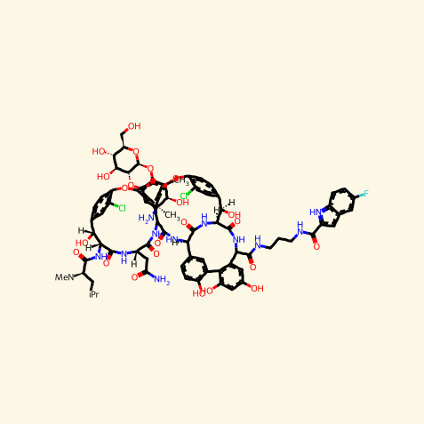 CN[C@H](CC(C)C)C(=O)N[C@H]1C(=O)N[C@@H](CC(N)=O)C(=O)NC2C(=O)N[C@H]3C(=O)N[C@H](C(=O)NC(C(=O)NCCCNC(=O)c4cc5cc(F)ccc5[nH]4)c4cc(O)cc(O)c4-c4cc3ccc4O)[C@H](O)c3ccc(c(Cl)c3)Oc3cc2cc(c3O[C@@H]2O[C@H](CO)[C@@H](O)[C@H](O)[C@H]2OC2C[C@](C)(N)[C@H](O)[C@H](C)O2)Oc2ccc(cc2Cl)[C@H]1O